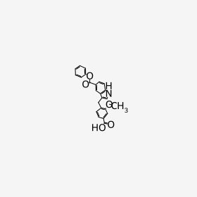 COc1cc(C(=O)O)ccc1Cc1c[nH]c2ccc(C(=O)Oc3ccccc3)cc12